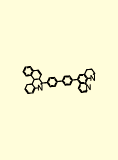 C1=CCC2C(=C1)N=C(c1ccc(-c3ccc(-c4cc5c(c6ncccc46)N=CCC5)cc3)cc1)C1C=Cc3ccccc3C12